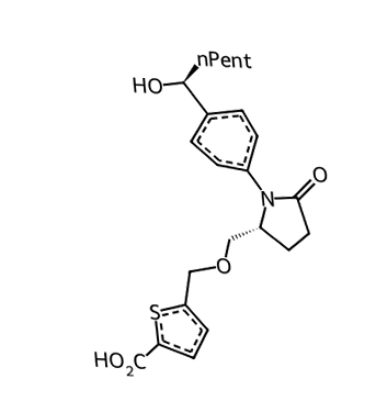 CCCCC[C@H](O)c1ccc(N2C(=O)CC[C@@H]2COCc2ccc(C(=O)O)s2)cc1